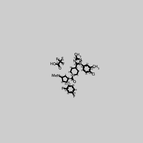 CNC1C[C@@H](C(=O)N2CCC(c3nc(C)nn3-c3ccc(Cl)c(C)c3)CC2)[C@H](c2ccc(F)cc2F)C1.O=C(O)C(F)(F)F